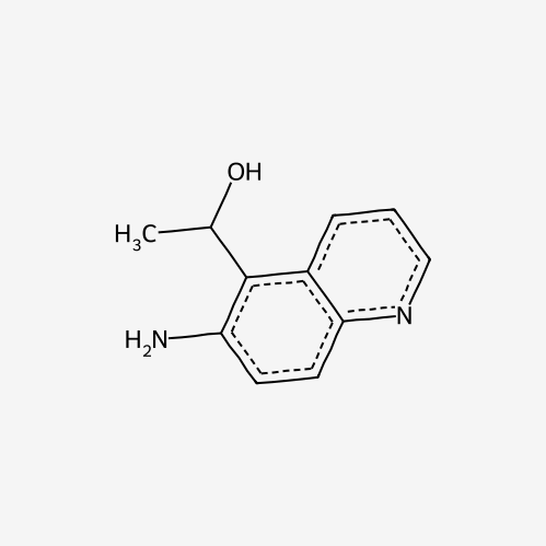 CC(O)c1c(N)ccc2ncccc12